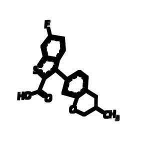 CC1COc2cc(-c3c(C(=O)O)sc4cc(F)ccc34)ccc2C1